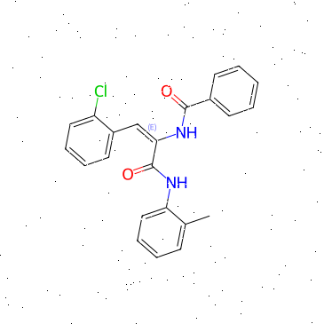 Cc1ccccc1NC(=O)/C(=C\c1ccccc1Cl)NC(=O)c1ccccc1